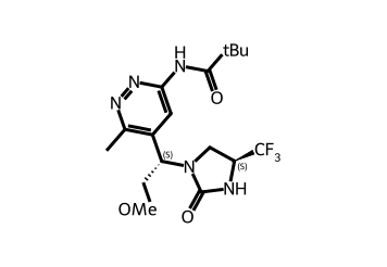 COC[C@H](c1cc(NC(=O)C(C)(C)C)nnc1C)N1C[C@@H](C(F)(F)F)NC1=O